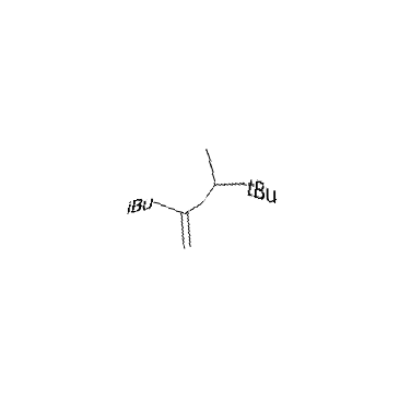 C=C(C(C)[CH]C)C(C)C(C)(C)C